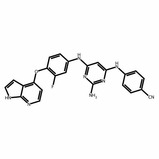 N#Cc1ccc(Nc2cc(Nc3ccc(Oc4ccnc5[nH]ccc45)c(F)c3)nc(N)n2)cc1